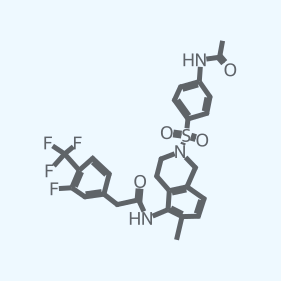 CC(=O)Nc1ccc(S(=O)(=O)N2CCc3c(ccc(C)c3NC(=O)Cc3ccc(C(F)(F)F)c(F)c3)C2)cc1